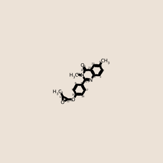 Cc1ccc2nc(-c3ccc(OC4OC4C)cc3)n(C)c(=O)c2c1